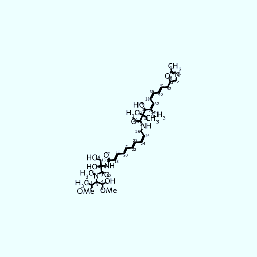 COC(C)C(C(O)OC)N(C)C(=O)C(O)(CO)NC(=O)/C=C/C=C/C=C/C=C\CNC(=O)C(C)(C)C(O)\C(C)=C/C=C\C=C\CC1CN=C(C)O1